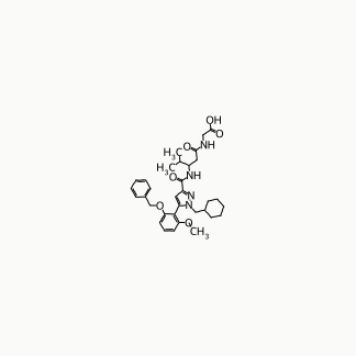 COc1cccc(OCc2ccccc2)c1-c1cc(C(=O)NC(CC(=O)NCC(=O)O)C(C)C)nn1CC1CCCCC1